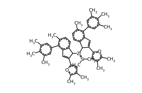 Cc1cc(C2=Cc3c(ccc(C)c3-c3cc(C)c(C)c(C)c3)[CH]2[Zr]([CH]2C(c3cc(C)c(C)o3)=Cc3c2ccc(C)c3-c2cc(C)c(C)c(C)c2)=[Si](C)C)oc1C